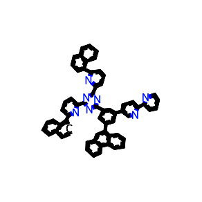 c1ccc(-c2ccc(-c3cc(-c4nc(-c5cccc(-c6cccc7ccccc67)n5)nc(-c5cccc(-c6cccc7ccccc67)n5)n4)cc(-c4cc5ccccc5c5ccccc45)c3)cn2)nc1